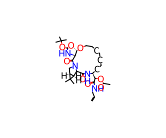 C=CCNC(=O)C(OC(C)=O)[C@@H]1CCCCCCCO[C@@H](C)[C@H](NC(=O)OC(C)(C)C)C(=O)N2C[C@H]3[C@@H]([C@H]2C(=O)N1)C3(C)C